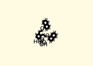 O=P(O)(O)Oc1cccc(CCOc2cccc3ccccc23)c1CCOc1cccc2ccccc12